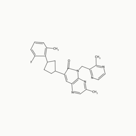 Cc1cnc2cc(C3CCC(c4c(C)cccc4F)C3)c(=O)n(Cc3nccnc3C)c2n1